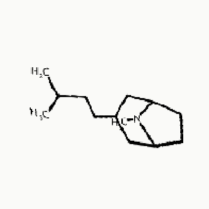 CC(C)CCC1CC2CCC(C1)N2C